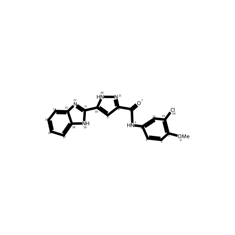 COc1ccc(NC(=O)c2cc(-c3nc4ccccc4[nH]3)[nH]n2)cc1Cl